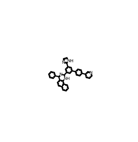 c1ccc(C2=NC(c3cc(-c4ccc(-c5cccnc5)cc4)cc(-c4ncc[nH]4)c3)Nc3c2ccc2ccccc32)cc1